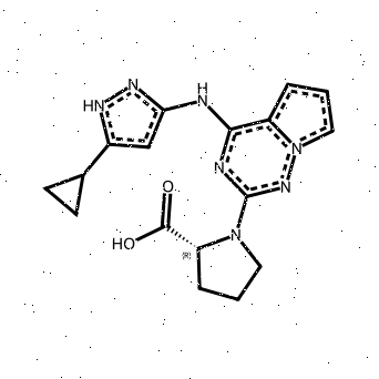 O=C(O)[C@H]1CCCN1c1nc(Nc2cc(C3CC3)[nH]n2)c2cccn2n1